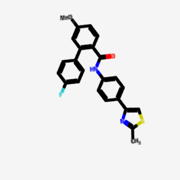 COc1ccc(C(=O)Nc2ccc(-c3csc(C)n3)cc2)c(-c2ccc(F)cc2)c1